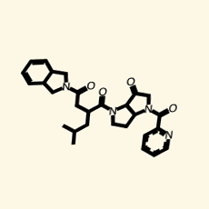 CC(C)CC(CC(=O)N1CC2C=CC=CC2C1)C(=O)N1CCC2C1C(=O)CN2C(=O)c1ccccn1